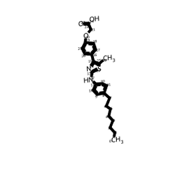 CCCCCCCCc1ccc(Nc2nc(-c3ccc(OCC(=O)O)cc3)c(C)s2)cc1